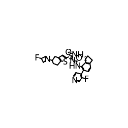 NS(=O)(=NC(=O)Nc1c(-c2ccncc2F)ccc2c1CCC2)c1cc2c(s1)CCC(N1CC(F)C1)C2